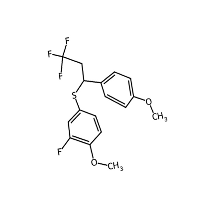 COc1ccc(C(CC(F)(F)F)Sc2ccc(OC)c(F)c2)cc1